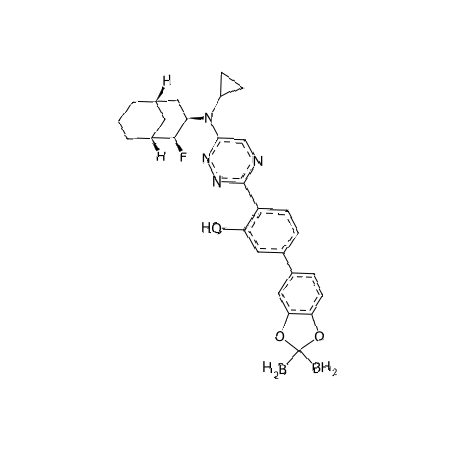 BC1(B)Oc2ccc(-c3ccc(-c4ncc(N(C5CC5)[C@@H]5C[C@H]6CCC[C@H](C6)[C@@H]5F)nn4)c(O)c3)cc2O1